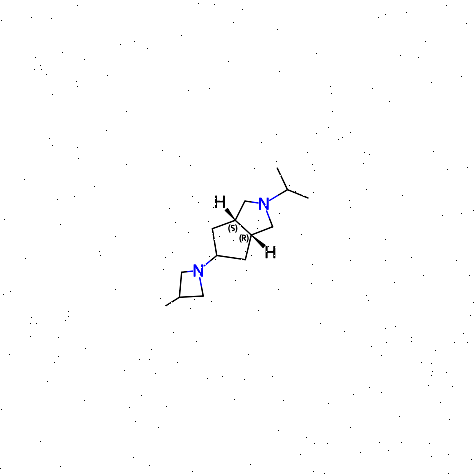 CC1CN(C2C[C@@H]3CN(C(C)C)C[C@@H]3C2)C1